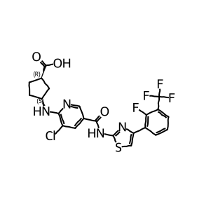 O=C(Nc1nc(-c2cccc(C(F)(F)F)c2F)cs1)c1cnc(N[C@H]2CC[C@@H](C(=O)O)C2)c(Cl)c1